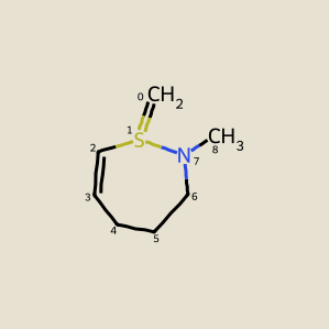 C=S1C=CCCCN1C